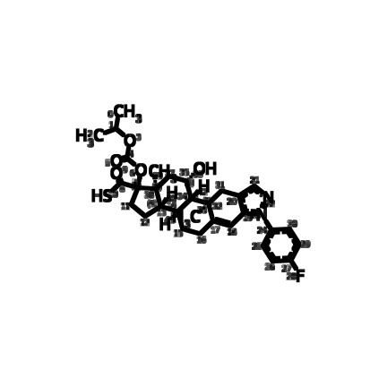 CC(C)OC(=O)O[C@]1(C(=O)S)CC[C@H]2[C@@H]3CCC4=Cc5c(cnn5-c5ccc(F)cc5)C[C@]4(C)[C@H]3[C@@H](O)C[C@@]21C